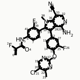 C=C(F)C(=O)Nc1ccc(-c2c(-c3ccc(Oc4ncc(Cl)c(C)n4)c(F)c3)c3c(N)ncc(C#N)c3n2C)c(F)c1